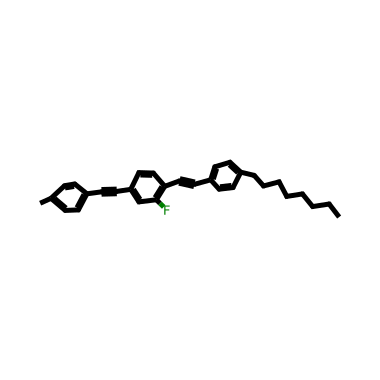 CCCCCCCCc1ccc(C#Cc2ccc(C#Cc3ccc(C)cc3)cc2F)cc1